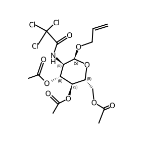 C=CCO[C@H]1O[C@H](COC(C)=O)[C@@H](OC(C)=O)[C@H](OC(C)=O)[C@H]1NC(=O)C(Cl)(Cl)Cl